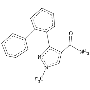 NC(=O)c1cn(C(F)(F)F)nc1-c1ccccc1-c1ccccc1